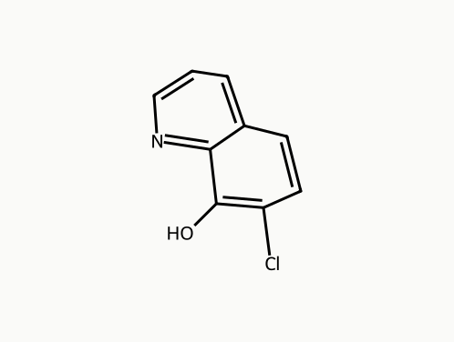 Oc1c(Cl)ccc2cccnc12